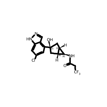 O=C(CC(F)(F)F)N[C@H]1[C@@H]2C[C@](O)(c3cc(Cl)cc4[nH]ncc34)C[C@@H]21